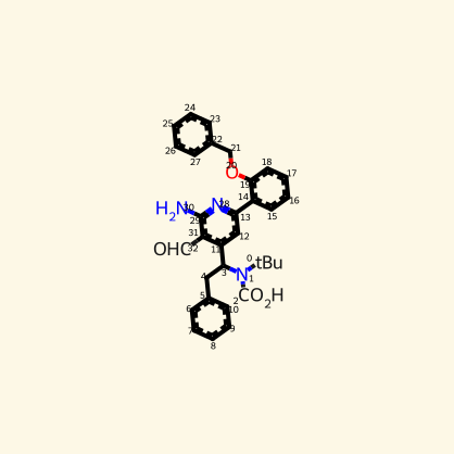 CC(C)(C)N(C(=O)O)C(Cc1ccccc1)c1cc(-c2ccccc2OCc2ccccc2)nc(N)c1C=O